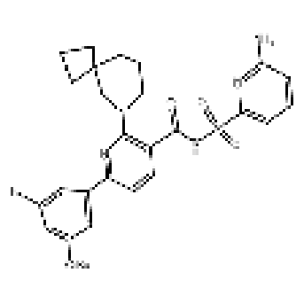 CC(C)COc1cc(F)cc(-c2ccc(C(=O)NS(=O)(=O)c3cccc(N)n3)c(N3CCCC4(CCC4)C3)n2)c1